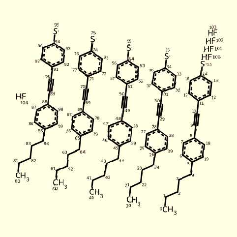 CCCCCc1ccc(C#Cc2ccc([S])cc2)cc1.CCCCCc1ccc(C#Cc2ccc([S])cc2)cc1.CCCCCc1ccc(C#Cc2ccc([S])cc2)cc1.CCCCCc1ccc(C#Cc2ccc([S])cc2)cc1.CCCCCc1ccc(C#Cc2ccc([S])cc2)cc1.F.F.F.F.F